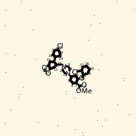 COC(=O)c1ccc(N2CCN(Cc3cc4c(cc3-c3ccc(Cl)cc3)OCO4)CC2)cc1Oc1ccccc1Cl